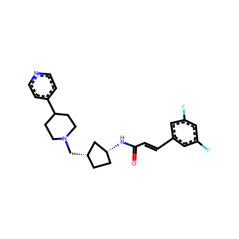 O=C(/C=C/c1cc(F)cc(F)c1)N[C@@H]1CC[C@H](CN2CCC(c3ccncc3)CC2)C1